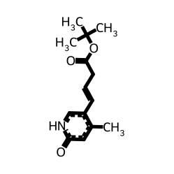 Cc1cc(=O)[nH]cc1/C=C/CC(=O)OC(C)(C)C